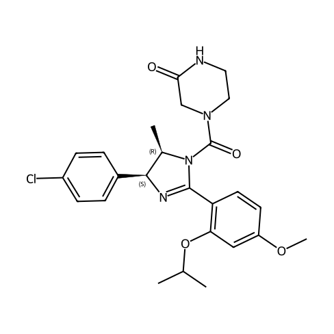 COc1ccc(C2=N[C@@H](c3ccc(Cl)cc3)[C@@H](C)N2C(=O)N2CCNC(=O)C2)c(OC(C)C)c1